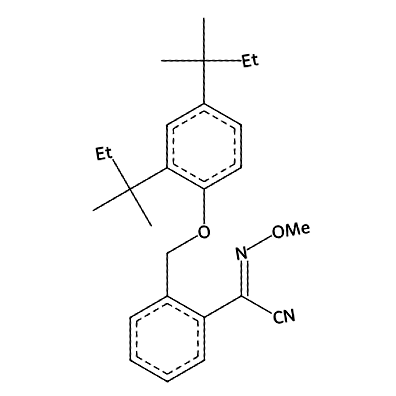 CCC(C)(C)c1ccc(OCc2ccccc2C(C#N)=NOC)c(C(C)(C)CC)c1